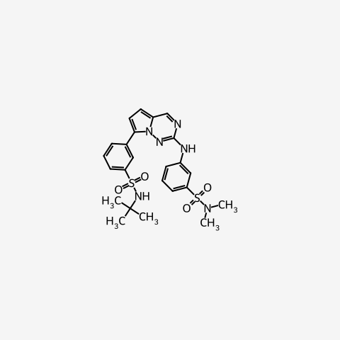 CN(C)S(=O)(=O)c1cccc(Nc2ncc3ccc(-c4cccc(S(=O)(=O)NC(C)(C)C)c4)n3n2)c1